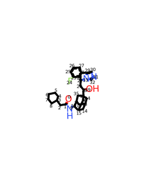 O=C(CC1CCCCC1)NC1C2CC3CC1CC(C(O)CC1c4c(F)cccc4-c4cncn41)(C3)C2